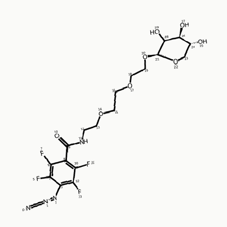 [N-]=[N+]=Nc1c(F)c(F)c(C(=O)NCCOCCOCCO[C@@H]2OC[C@@H](O)[C@H](O)C2O)c(F)c1F